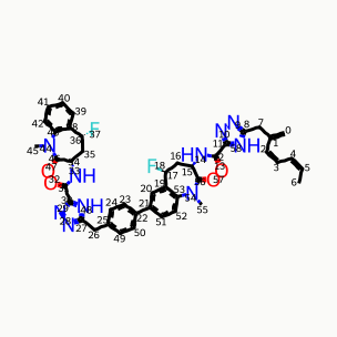 C=C(/C=C\C=C/C)Cc1nnc(C(=O)N[C@@H]2C[C@H](F)c3cc(-c4ccc(Cc5nnc(C(=O)N[C@H]6C[C@@H](F)c7ccccc7N(C)C6=O)[nH]5)cc4)ccc3N(C)C2=O)[nH]1